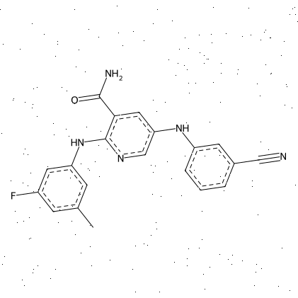 Cc1cc(F)cc(Nc2ncc(Nc3cccc(C#N)c3)cc2C(N)=O)c1